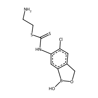 NCCSC(=S)Nc1cc2c(cc1Cl)COB2O